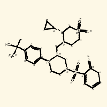 C[C@@](O)(c1ccc(N2CCN(S(=O)(=O)C3=CC=CCC3=S)C[C@@H]2CN2CCS(=O)(=O)C[C@H]2C2CC2)cc1)C(F)(F)F